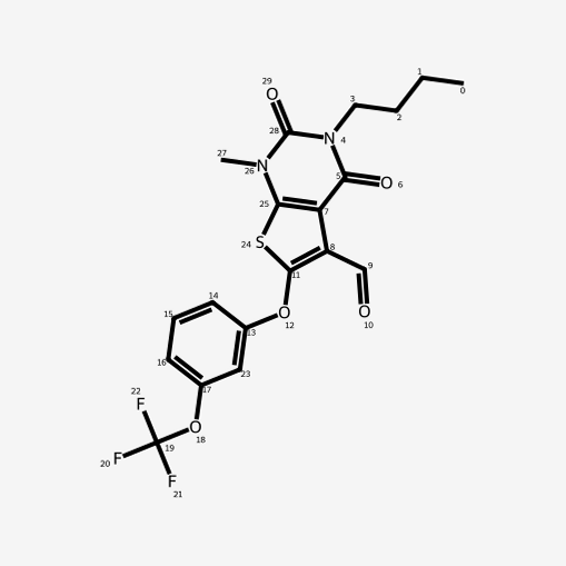 CCCCn1c(=O)c2c(C=O)c(Oc3cccc(OC(F)(F)F)c3)sc2n(C)c1=O